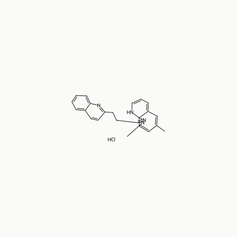 CC1=CC2=CC=CNC23N=C(CCc2ccc4ccccc4n2)N(C)C3=C1.Cl